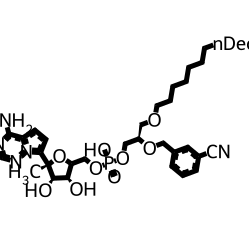 CCCCCCCCCCCCCCCCCOC[C@H](COP(=O)(O)OCC1O[C@@](C)(c2ccc3c(N)ncnn23)[C@H](O)[C@@H]1O)OCc1cccc(C#N)c1